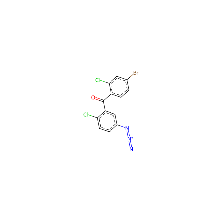 [N-]=[N+]=Nc1ccc(Cl)c(C(=O)c2ccc(Br)cc2Cl)c1